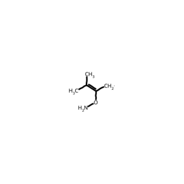 [CH2]C(ON)=C(C)C